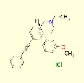 CCN1CC[C@@]2(c3cccc(OC)c3)CC(C#Cc3ccccc3)=CC[C@@H]2C1.Cl